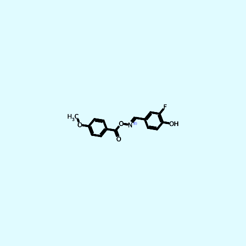 COc1ccc(C(=O)O/N=C/c2ccc(O)c(F)c2)cc1